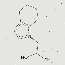 CC(O)Cn1ccc2c1CCCC2